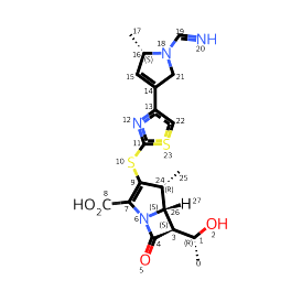 C[C@@H](O)[C@H]1C(=O)N2C(C(=O)O)=C(Sc3nc(C4=C[C@H](C)N(C=N)C4)cs3)[C@H](C)[C@H]12